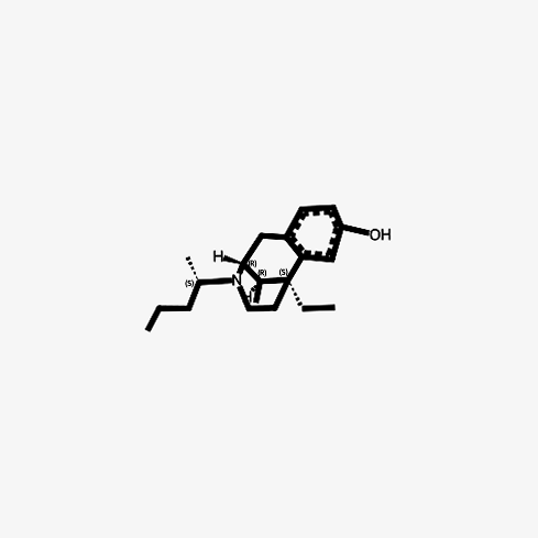 CCC[C@H](C)N1CC[C@]2(CC)c3cc(O)ccc3C[C@@H]1[C@@H]2C